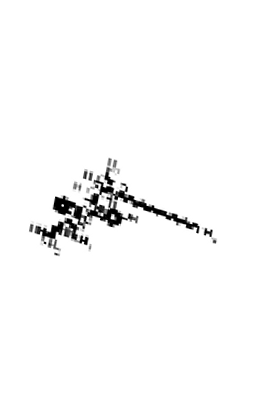 CCCCCCCCCCCCCCCC(=O)N[C@@H](CC(C)C)C(=O)N[C@@H](C)C(=O)N[C@@H](Cc1ccc(O)cc1)C(=O)N[C@@H](Cc1ccccc1)C(=O)N[C@@H](CCCCC(=N)N)C(=O)NC